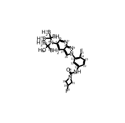 BC(B)(B)N(c1cnc2nn(-c3cc(NC(=O)N4CC(F)C4)ccc3F)cc2c1)C(B)(B)O